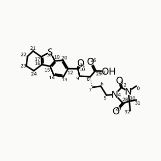 CN1C(=O)N(CCC[C@H](CC(=O)c2ccc3c4c(sc3c2)CCCC4)C(=O)O)C(=O)C1(C)C